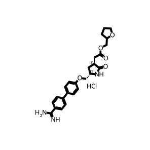 Cl.N=C(N)c1ccc(-c2ccc(OC[C@@H]3C[C@@H](CC(=O)OCC4CCCO4)C(=O)N3)cc2)cc1